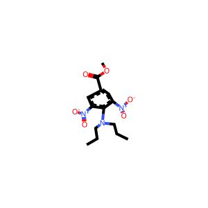 CCCN(CCC)c1c([N+](=O)[O-])cc(C(=O)OC)cc1[N+](=O)[O-]